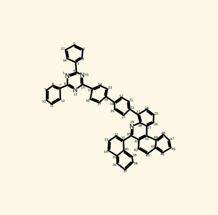 c1ccc(-c2nc(-c3ccccc3)nc(-c3ccc(-c4ccc(-c5cccc6c5nc(-c5cccc7ccccc57)c5ccc7ccccc7c56)cc4)cc3)n2)cc1